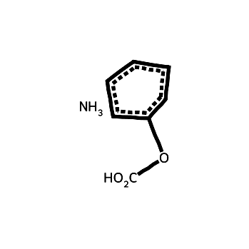 N.O=C(O)Oc1ccccc1